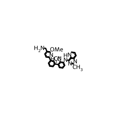 COc1nc(-c2cccc(-c3cccc(Nc4nc(C)nc5cccnc45)c3C)c2C#N)ccc1CN